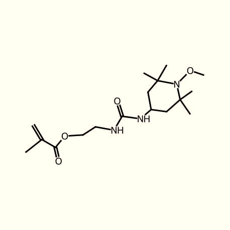 C=C(C)C(=O)OCCNC(=O)NC1CC(C)(C)N(OC)C(C)(C)C1